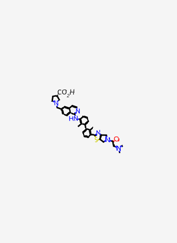 Cc1c(Nc2nccc3cc(CN4CC[C@@H](C(=O)O)C4)ccc23)cccc1-c1cccc(-c2nc3c(s2)CN(C(=O)CN(C)C)C3)c1C